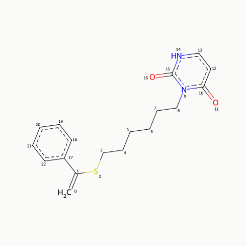 C=C(SCCCCCCn1c(=O)cc[nH]c1=O)c1ccccc1